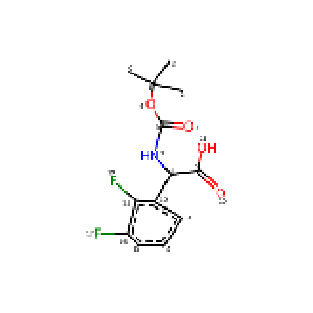 CC(C)(C)OC(=O)NC(C(=O)O)c1cccc(F)c1F